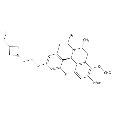 CNc1ccc2c(c1OC=O)C[C@@H](C)N(CC(C)C)[C@@H]2c1c(F)cc(OCCN2CC(CF)C2)cc1F